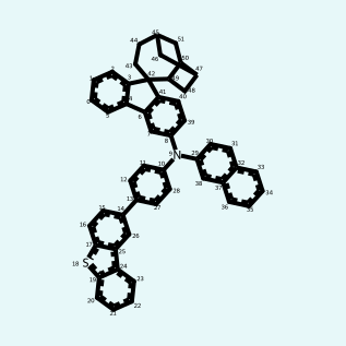 c1ccc2c(c1)-c1cc(N(c3ccc(-c4ccc5sc6ccccc6c5c4)cc3)c3ccc4ccccc4c3)ccc1C21CCC2CC3CC1C3C2